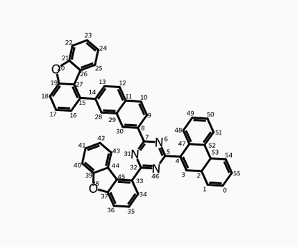 C1=CC2C=C(c3nc(-c4ccc5ccc(-c6cccc7oc8ccccc8c67)cc5c4)nc(-c4cccc5oc6ccccc6c45)n3)c3ccccc3C2C=C1